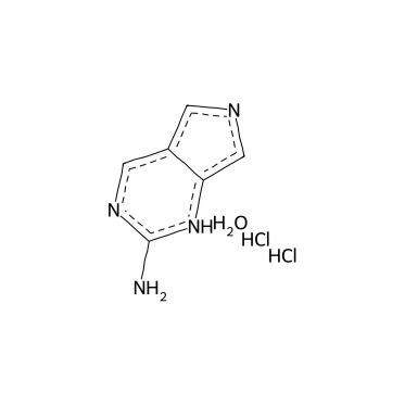 Cl.Cl.Nc1ncc2cncc-2[nH]1.O